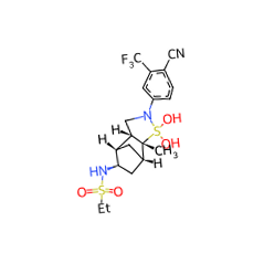 CCS(=O)(=O)N[C@@H]1C[C@@H]2C[C@H]1[C@@H]1CN(c3ccc(C#N)c(C(F)(F)F)c3)S(O)(O)[C@]21C